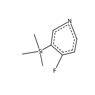 C[Si](C)(C)c1cnccc1F